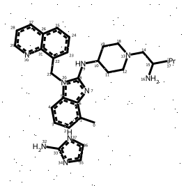 Cc1cccc2c1nc(NC1CCN(CC(N)C(C)C)CC1)n2Cc1cccc2cccnc12.Nc1ncc[nH]1